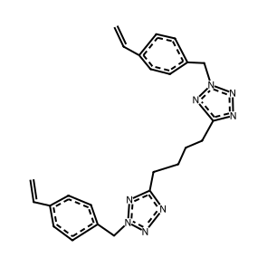 C=Cc1ccc(Cn2nnc(CCCCc3nnn(Cc4ccc(C=C)cc4)n3)n2)cc1